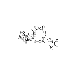 CO[C@]1(C)C[C@@H](C)CN(C)[C@@H](C2CN(C(=O)C(C)N(C)C)C2)COC(=O)C(C)(C)C(=O)[C@H](C)[C@H]1O[C@@H]1O[C@H](C)C[C@H](N(C)C)[C@H]1O